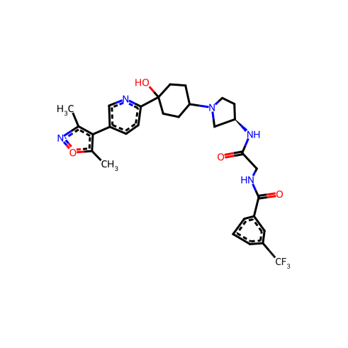 Cc1noc(C)c1-c1ccc(C2(O)CCC(N3CC[C@@H](NC(=O)CNC(=O)c4cccc(C(F)(F)F)c4)C3)CC2)nc1